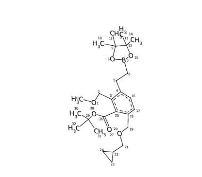 COCc1c(CCB2OC(C)(C)C(C)(C)O2)ccc(COCC2CC2)c1C(=O)OC(C)(C)C